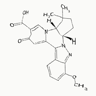 COc1cccc2c3n(nc12)[C@H]1CCC(C)(C)[C@H]1n1cc(C(=O)O)c(=O)cc1-3